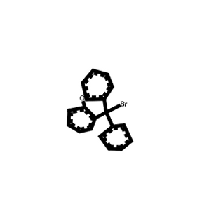 Oc1ccccc1C(Br)(c1ccccc1)c1ccccc1